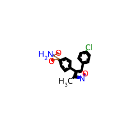 Cc1noc(-c2ccc(Cl)cc2)c1-c1ccc(S(N)(=O)=O)cc1